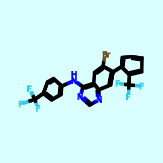 FC(F)(F)c1ccc(Nc2ncnc3cc(-c4ccccc4C(F)(F)F)c(Br)cc23)cc1